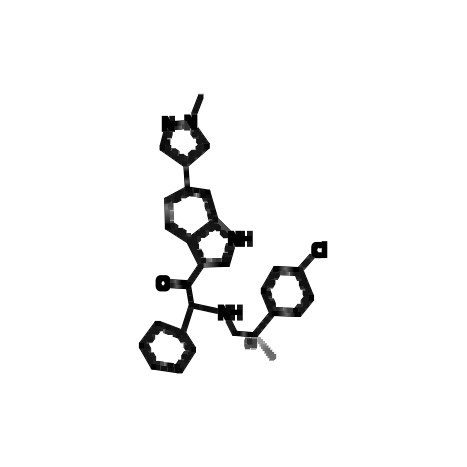 C[C@H](CNC(C(=O)c1c[nH]c2cc(-c3cnn(C)c3)ccc12)c1ccccc1)c1ccc(Cl)cc1